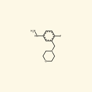 NNc1ccc(F)c(CN2CCOCC2)c1